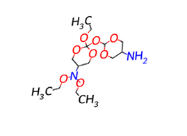 CCON(OCC)C1COC(OCC)(OC2OCC(N)CO2)OC1